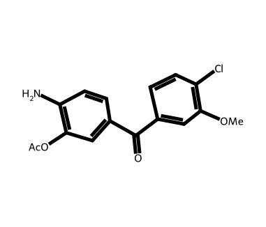 COc1cc(C(=O)c2ccc(N)c(OC(C)=O)c2)ccc1Cl